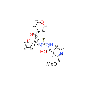 COCc1cc(C(O)Nc2nc(-c3ccco3)c(C(=O)C3CCOCC3)s2)ccn1